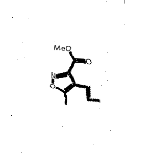 C/C=C/c1c(C(=O)OC)noc1C